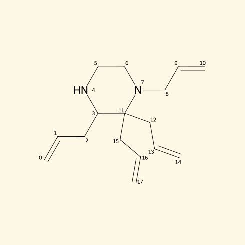 C=CCC1NCCN(CC=C)C1(CC=C)CC=C